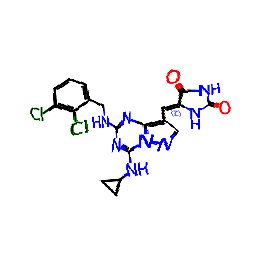 O=C1NC(=O)/C(=C/c2cnn3c(NC4CC4)nc(NCc4cccc(Cl)c4Cl)nc23)N1